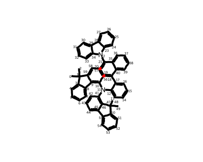 CC1(C)c2ccccc2-c2c(N(c3ccccc3-c3ccc(-n4c5ccccc5c5ccccc54)c4ccccc34)c3cccc4c3C(C)(C)c3ccccc3-4)cccc21